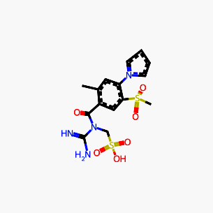 Cc1cc(-n2cccc2)c(S(C)(=O)=O)cc1C(=O)N(CS(=O)(=O)O)C(=N)N